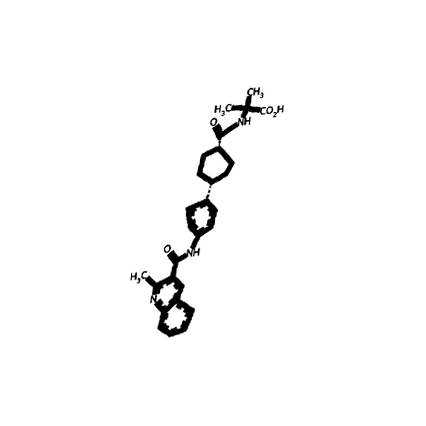 Cc1nc2ccccc2cc1C(=O)Nc1ccc([C@H]2CC[C@@H](C(=O)NC(C)(C)C(=O)O)CC2)cc1